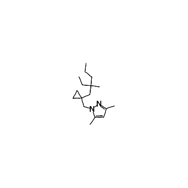 CCCC(C)(CC)CC1(Cn2nc(C)cc2C)CC1